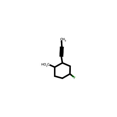 CC#CC1CC(F)CCC1C(=O)O